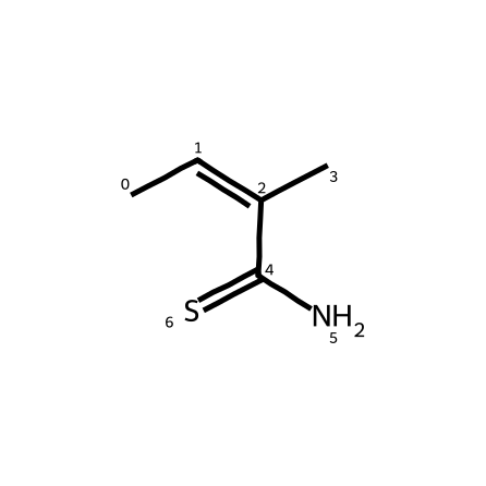 CC=C(C)C(N)=S